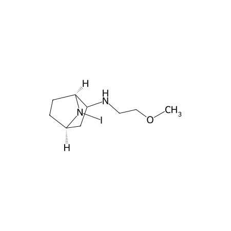 COCCNC1C[C@H]2CC[C@@H]1N2I